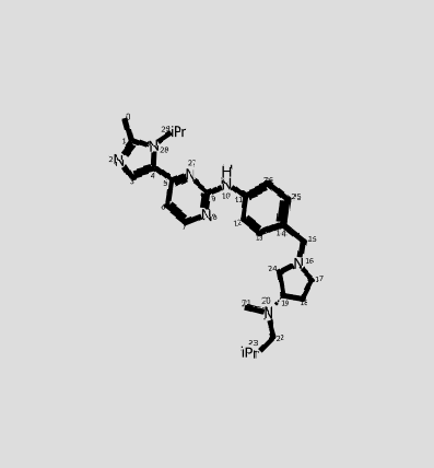 Cc1ncc(-c2ccnc(Nc3ccc(CN4CC[C@H](N(C)CC(C)C)C4)cc3)n2)n1C(C)C